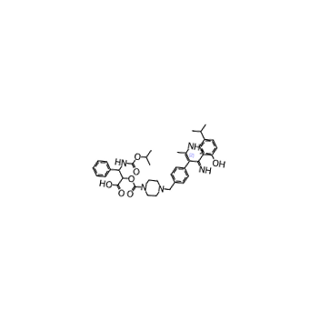 C/C(N)=C(/C(=N)c1cc(C(C)C)ccc1O)c1ccc(CN2CCN(C(=O)OC(C(=O)O)C(NC(=O)OC(C)C)c3ccccc3)CC2)cc1